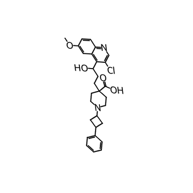 COc1ccc2ncc(Cl)c(C(O)CCC3(C(=O)O)CCN(C4CC(c5ccccc5)C4)CC3)c2c1